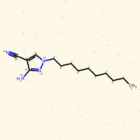 CCCCCCCCCCn1cc(C#N)c(N)n1